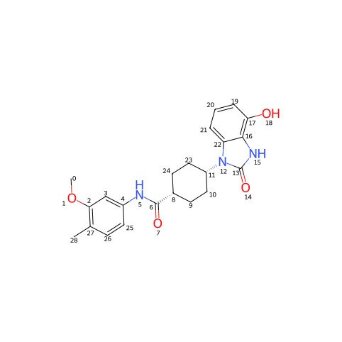 COc1cc(NC(=O)[C@H]2CC[C@@H](n3c(=O)[nH]c4c(O)cccc43)CC2)ccc1C